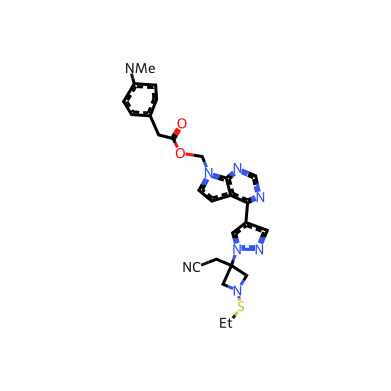 CCSN1CC(CC#N)(n2cc(-c3ncnc4c3ccn4COC(=O)Cc3ccc(NC)cc3)cn2)C1